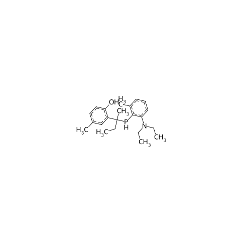 CCN(CC)c1cccc(C)c1PC(C)(CC)c1cc(C)ccc1O